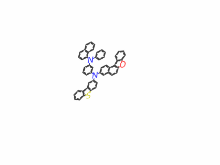 c1ccc(N(c2cccc(N(c3ccc4c(ccc5oc6ccccc6c54)c3)c3ccc4sc5ccccc5c4c3)c2)c2cccc3ccccc23)cc1